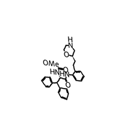 COC(=O)N[C@H](C(=O)Nc1ccccc1CC[C@@H]1CNCCO1)C(c1ccccc1)c1ccccc1